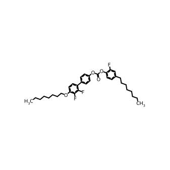 CCCCCCCCOc1ccc(-c2ccc(OC(=O)Oc3ccc(CCCCCCCC)cc3F)cc2)c(F)c1F